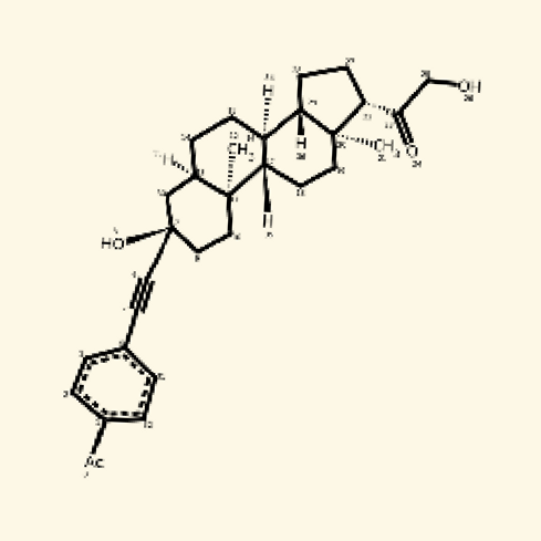 CC(=O)c1ccc(C#C[C@@]2(O)CC[C@@]3(C)[C@H](CC[C@@H]4[C@@H]3CC[C@]3(C)[C@@H](C(=O)CO)CC[C@@H]43)C2)cc1